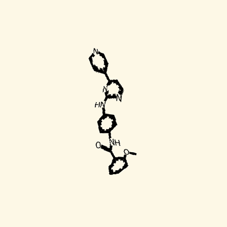 COc1ccccc1C(=O)Nc1ccc(Nc2nccc(-c3ccncc3)n2)cc1